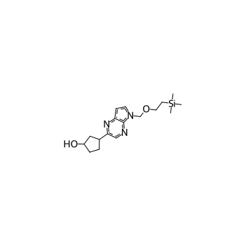 C[Si](C)(C)CCOCn1ccc2nc(C3CCC(O)C3)cnc21